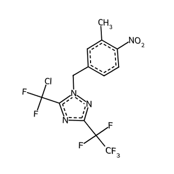 Cc1cc(Cn2nc(C(F)(F)C(F)(F)F)nc2C(F)(F)Cl)ccc1[N+](=O)[O-]